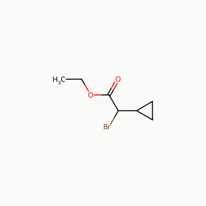 CCOC(=O)C(Br)C1CC1